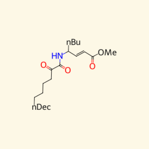 CCCCCCCCCCCCCCC(=O)C(=O)NC(C=CC(=O)OC)CCCC